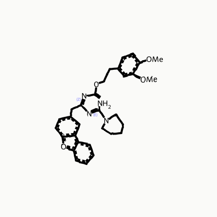 C=C(/N=C(Cc1ccc2oc3ccccc3c2c1)\N=C(/N)N1CCCCC1)OCCc1ccc(OC)c(OC)c1